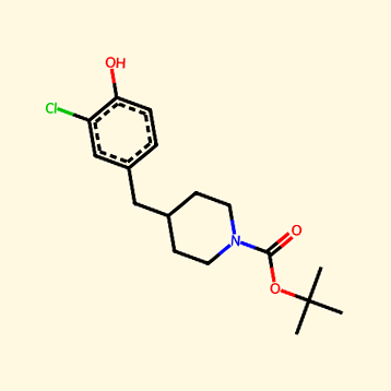 CC(C)(C)OC(=O)N1CCC(Cc2ccc(O)c(Cl)c2)CC1